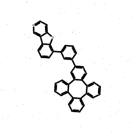 c1cc(-c2ccc3c(c2)-c2ccccc2-c2ccccc2-c2ccccc2-3)cc(-c2cccc3c2oc2ccncc23)c1